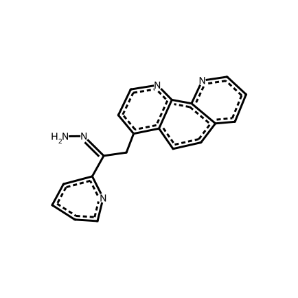 NN=C(Cc1ccnc2c1ccc1cccnc12)c1ccccn1